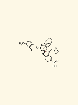 Cc1ccc(COc2cccc(N3C4CCC3CN(Cc3nc5ccc(C(=O)O)cc5n3C[C@@H]3CCO3)C4)n2)c(F)c1